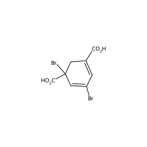 O=C(O)C1=CC(Br)=CC(Br)(C(=O)O)C1